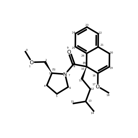 COC[C@@H]1CCCN1C(=O)[C@@]1(CCC(C)C)C(OC)=CCc2ccccc21